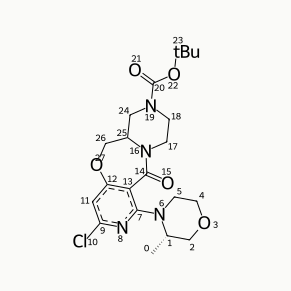 C[C@H]1COCCN1c1nc(Cl)cc2c1C(=O)N1CCN(C(=O)OC(C)(C)C)CC1CO2